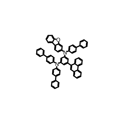 c1ccc(-c2ccc(N(c3ccc(-c4ccccc4)cc3)c3cc(-c4cc5ccccc5c5ccccc45)cc(N(c4ccc(-c5ccccc5)cc4)c4ccc5c(c4)oc4ccccc45)c3)cc2)cc1